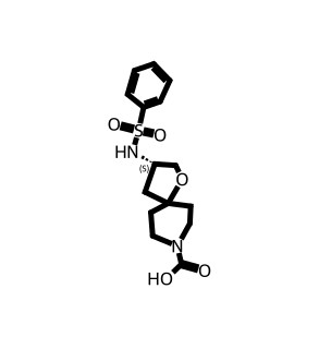 O=C(O)N1CCC2(CC1)C[C@H](NS(=O)(=O)c1ccccc1)CO2